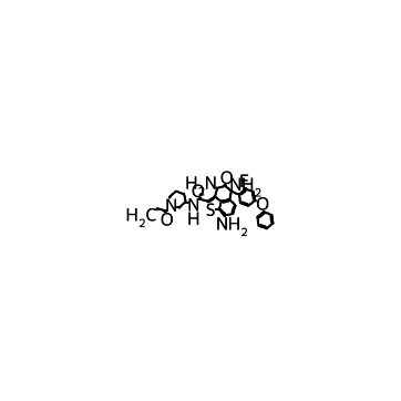 C=CC(=O)N1CCCC(NC(=O)c2sc3c(N)ccc4c3c2C(N)C(=O)C4(N)c2ccc(Oc3ccccc3)cc2F)C1